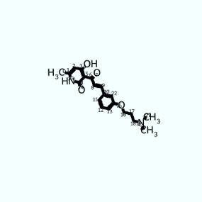 Cc1cc(O)c(C(=O)/C=C/c2cccc(OCCCN(C)C)c2)c(=O)[nH]1